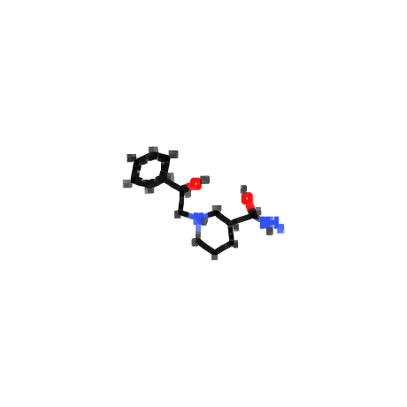 NC(=O)C1CCCN(CC(=O)c2ccccc2)C1